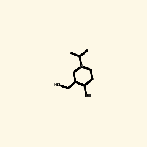 CC(C)N1CCC(O)C(CO)C1